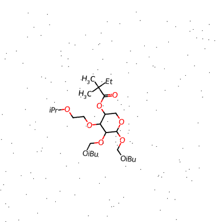 CCC(C)(C)C(=O)OC1COC(OCOCC(C)C)C(OCOCC(C)C)C1OCCOC(C)C